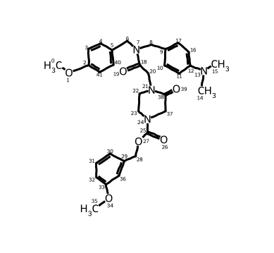 COc1ccc(CN(Cc2ccc(N(C)C)cc2)C(=O)CN2CCN(C(=O)OCc3cccc(OC)c3)CC2=O)cc1